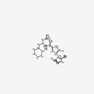 Cc1sc(C(=O)NC(CN)CC2CCCCC2)cc1-c1c(Br)cnn1C